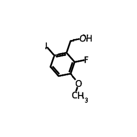 COc1ccc(I)c(CO)c1F